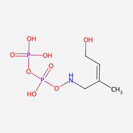 CC(=CCO)CNOP(=O)(O)OP(=O)(O)O